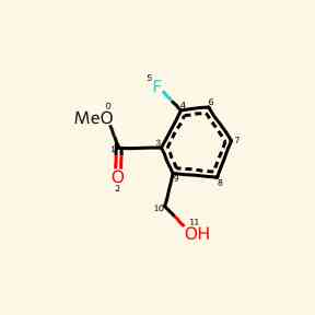 COC(=O)c1c(F)cccc1CO